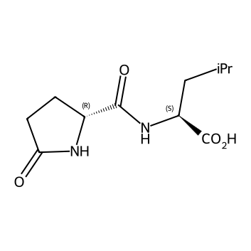 CC(C)C[C@H](NC(=O)[C@H]1CCC(=O)N1)C(=O)O